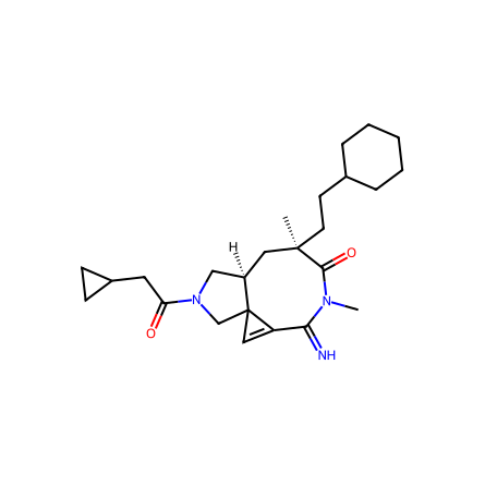 CN1C(=N)C2=CC23CN(C(=O)CC2CC2)C[C@H]3C[C@@](C)(CCC2CCCCC2)C1=O